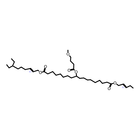 CC/C=C/COC(=O)CCCCCCCCC(CCCCCCCC(=O)OC/C=C/CCCC(CC)CC)OC(=O)CCCOC